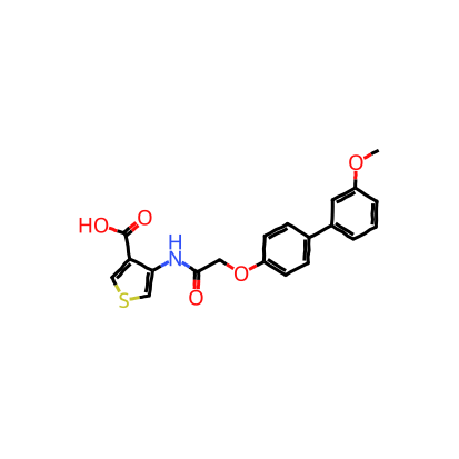 COc1cccc(-c2ccc(OCC(=O)Nc3cscc3C(=O)O)cc2)c1